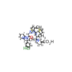 CC(Cc1ccccc1)(NC(=O)CN)c1ccccc1.Cc1ccsc1C(=CCCN1CCC[C@@H](C(=O)O)C1)c1sccc1C.Cl